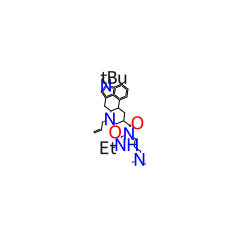 C=CCN1CC(C(=O)N(CCCN(C)C)C(=O)NCC)CC2c3cccc4c3c(cn4C(C)(C)C)CC21